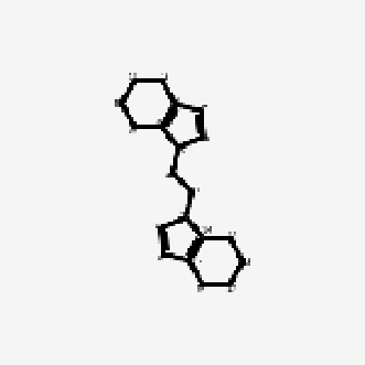 C1=CC(CCC2C=CC3=C2CCCC3)C2=C1CCCC2